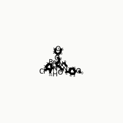 COc1ccc(CN2CCn3c(COC4CCOCC4)c(Br)c(Nc4cccc(Cl)c4C)c3C2=O)cc1